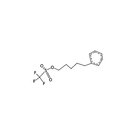 O=S(=O)(OCCCCCc1ccccc1)C(F)(F)F